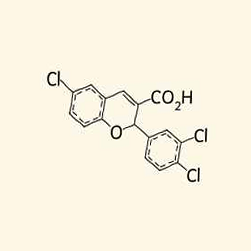 O=C(O)C1=Cc2cc(Cl)ccc2OC1c1ccc(Cl)c(Cl)c1